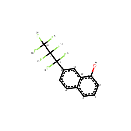 [O]c1cccc2ccc(C(F)(F)C(F)(F)C(F)(F)F)cc12